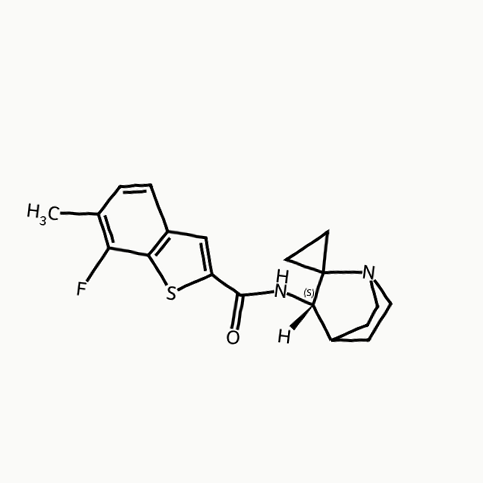 Cc1ccc2cc(C(=O)N[C@H]3C4CCN(CC4)C34CC4)sc2c1F